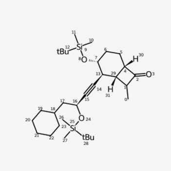 CC1C(=O)[C@H]2CC[C@@H](O[Si](C)(C)C(C)(C)C)[C@H](C#C[C@H](CC3CCCCC3)O[Si](C)(C)C(C)(C)C)[C@@H]12